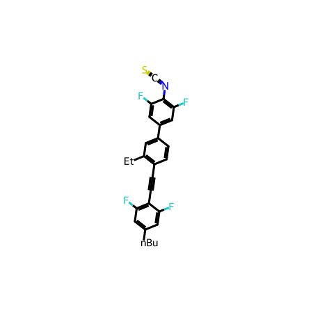 CCCCc1cc(F)c(C#Cc2ccc(-c3cc(F)c(N=C=S)c(F)c3)cc2CC)c(F)c1